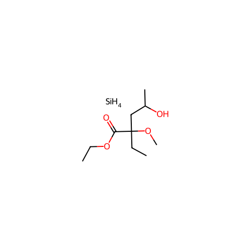 CCOC(=O)C(CC)(CC(C)O)OC.[SiH4]